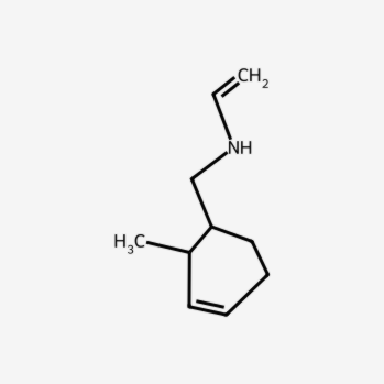 C=CNCC1CCC=CC1C